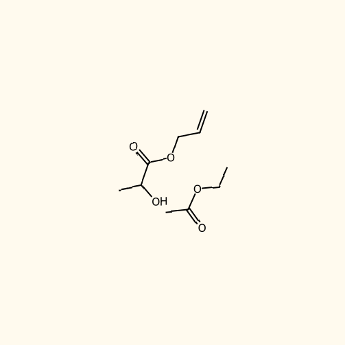 C=CCOC(=O)C(C)O.CCOC(C)=O